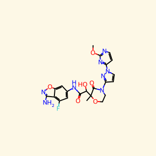 COc1nccc(-n2ccc(N3CCOC(C)(C(O)C(=O)Nc4cc(F)c5c(N)noc5c4)C3=O)n2)n1